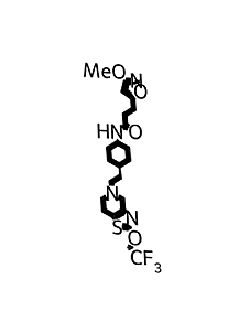 COc1cc(CCC(=O)N[C@H]2CC[C@H](CCN3CCc4sc(OCC(F)(F)F)nc4C3)CC2)on1